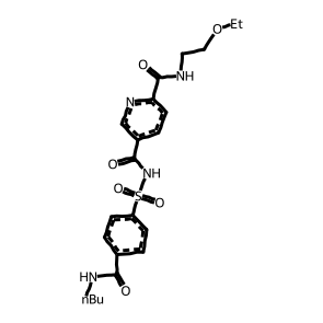 CCCCNC(=O)c1ccc(S(=O)(=O)NC(=O)c2ccc(C(=O)NCCOCC)nc2)cc1